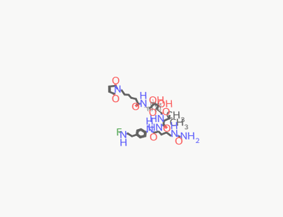 CC(C)C(NC(=O)[C@H]1O[C@H](CNC(=O)CCCCCN2C(=O)C=CC2=O)[C@H](O)[C@@H]1O)C(=O)NC(CCCNC(N)=O)C(=O)Nc1ccc(CCNF)cc1